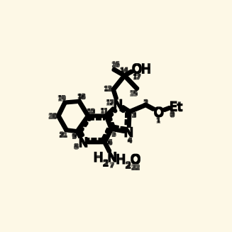 CCOCc1nc2c(N)nc3c(c2n1CC(C)(C)O)CCCC3.O